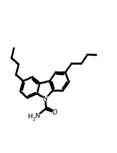 CCCCc1ccc2c(c1)c1cc(CCCC)ccc1n2C(N)=O